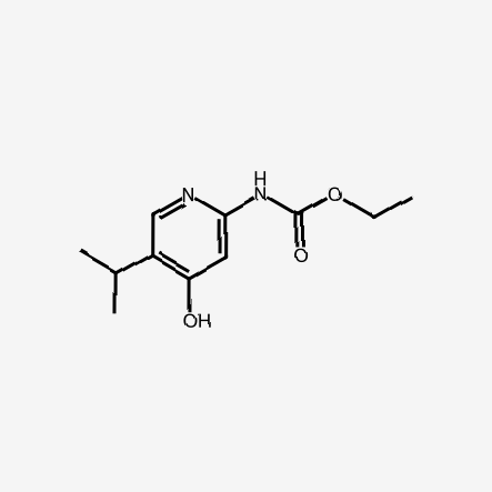 CCOC(=O)Nc1cc(O)c(C(C)C)cn1